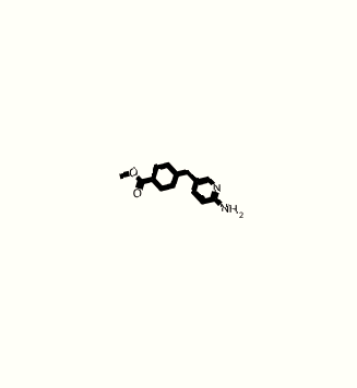 COC(=O)C1CCC(Cc2ccc(N)nc2)CC1